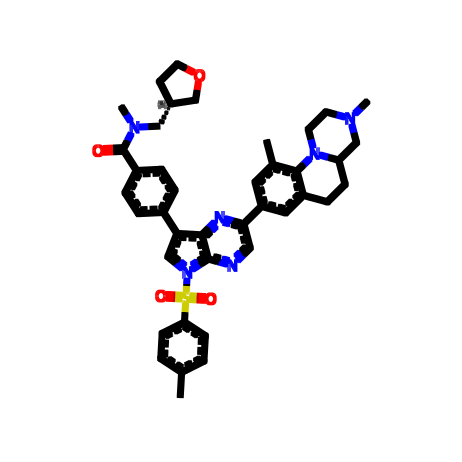 Cc1ccc(S(=O)(=O)n2cc(-c3ccc(C(=O)N(C)C[C@@H]4CCOC4)cc3)c3nc(-c4cc(C)c5c(c4)CCC4CN(C)CCN54)cnc32)cc1